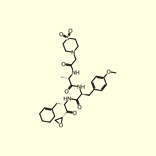 COc1ccc(C[C@H](NC(=O)[C@H](C)NC(=O)CN2CCS(=O)(=O)CC2)C(=O)N[C@@H](CC2=CCCCC2)C(=O)[C@H]2CO2)cc1